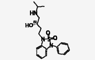 CC(C)NC[C@@H](O)CCN1c2ccccc2N(c2ccccc2)S1(=O)=O